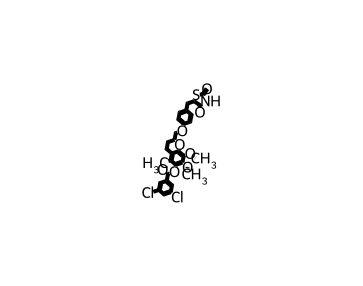 COc1c(OC(=O)c2cc(Cl)cc(Cl)c2)c(C)c2c(c1OC)OC(COc1ccc(CC3SC(=O)NC3=O)cc1)CC2